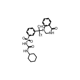 CCC(C=O)(c1cccc(S(=O)(=O)NC(=O)NC2CCCCC2)c1)N1CNC(=O)c2ccccc21